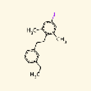 CCc1cccc(CCc2c(C)cc(I)cc2C)c1